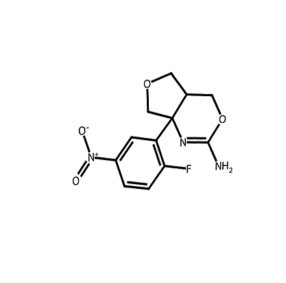 NC1=NC2(c3cc([N+](=O)[O-])ccc3F)COCC2CO1